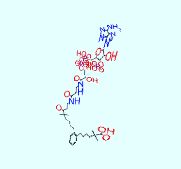 CC(C)(CCCCc1ccccc1CCCCC(C)(C)C(=O)CCNC(=O)CCNC(=O)C(O)C(C)(C)COP(=O)(O)OP(=O)(O)OCC1OC(n2cnc3c(N)ncnc32)C(O)C1OP(=O)(O)O)C(=O)O